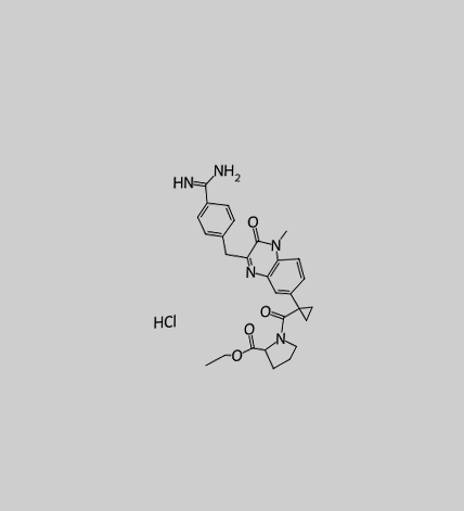 CCOC(=O)C1CCCN1C(=O)C1(c2ccc3c(c2)nc(Cc2ccc(C(=N)N)cc2)c(=O)n3C)CC1.Cl